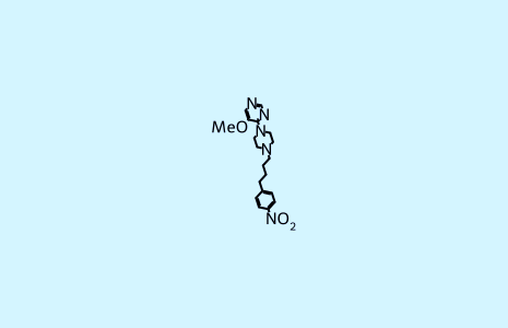 COc1cncnc1N1CCN(CCCCc2ccc([N+](=O)[O-])cc2)CC1